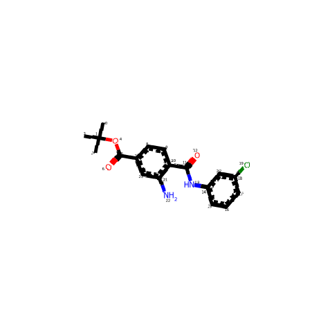 CC(C)(C)OC(=O)c1ccc(C(=O)Nc2cccc(Cl)c2)c(N)c1